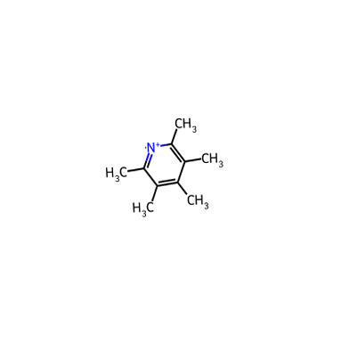 CC1=[N+]C(C)=C(C)C(C)=C1C